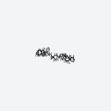 O=C(NCC1CC12CCN(C(=O)Cn1ccc(=O)[nH]c1=O)CC2)c1cc2ccncc2o1